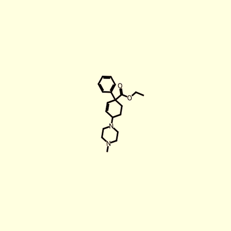 CCOC(=O)C1(c2ccccc2)C=CC(N2CCN(C)CC2)CC1